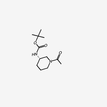 CC(=O)N1CCC[C@H](NC(=O)OC(C)(C)C)C1